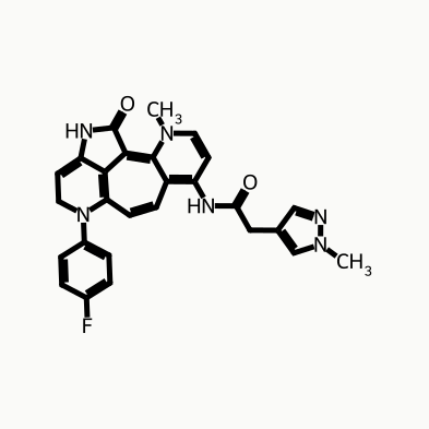 CN1C=CC(NC(=O)Cc2cnn(C)c2)=c2ccc3c4c([nH]c(=O)c-4c21)=CCN3c1ccc(F)cc1